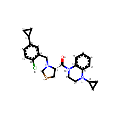 O=C([C@@H]1CSCN1Cc1cc(C2CC2)ccc1Cl)N1CCN(C2CC2)c2ccccc21